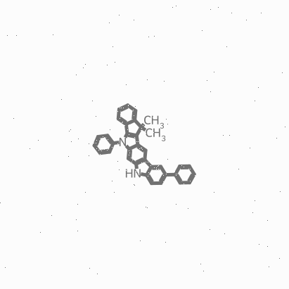 CC1(C)c2ccccc2-c2c1c1cc3c(cc1n2-c1ccccc1)[nH]c1ccc(-c2ccccc2)cc13